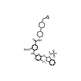 COc1cc(C(=O)N[C@H]2CC[C@H](N3CCN(CC4CC4)CC3)CC2)ccc1Nc1ncc(C(F)(F)F)c(O[C@@H]2Cc3ccccc3[C@H]2N(C)S(C)(=O)=O)n1